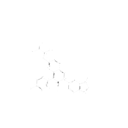 Cn1cnc2ccc(-n3cc4ccc(NC(F)C(F)F)nc4c(-c4ccc(Cl)cc4)c3=O)cc21